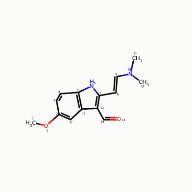 COc1ccc2[nH]c(/C=C/N(C)C)c(C=O)c2c1